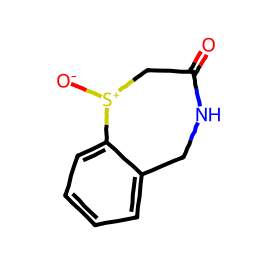 O=C1C[S+]([O-])c2ccccc2CN1